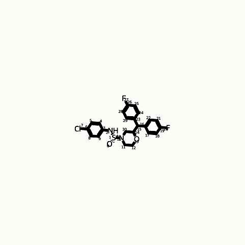 [O-][S+](Nc1ccc(Cl)cc1)N1CCOC(C(c2ccc(F)cc2)c2ccc(F)cc2)C1